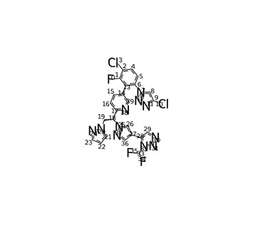 Fc1c(Cl)ccc(-n2cc(Cl)nn2)c1-c1ccc([C@H](Cn2cccn2)n2cc(-c3cnnn3C(F)F)cn2)nc1